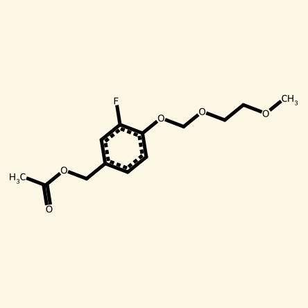 COCCOCOc1ccc(COC(C)=O)cc1F